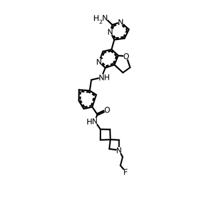 Nc1nccc(-c2cnc(NCc3cccc(C(=O)NC4CC5(C4)CN(CCF)C5)c3)c3c2OCC3)n1